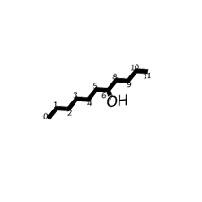 CCCCCCC(O)CCCC